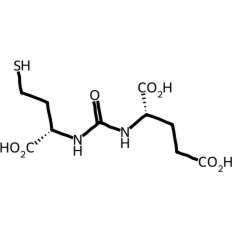 O=C(O)CC[C@H](NC(=O)N[C@@H](CCS)C(=O)O)C(=O)O